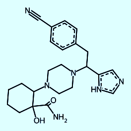 N#Cc1ccc(CC(c2cnc[nH]2)N2CCN(C3CCCCC3(O)C(N)=O)CC2)cc1